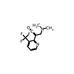 CN(C)CC(=C=O)c1ncccc1C(F)(F)F